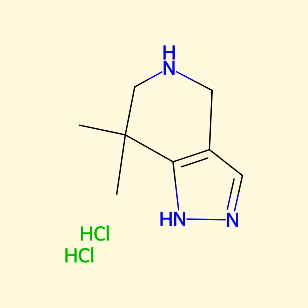 CC1(C)CNCc2cn[nH]c21.Cl.Cl